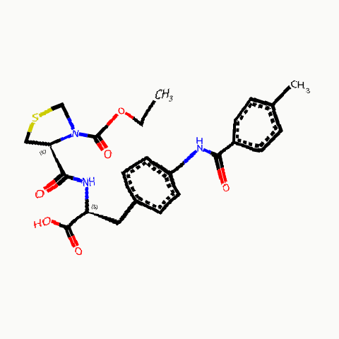 CCOC(=O)N1CSC[C@@H]1C(=O)N[C@@H](Cc1ccc(NC(=O)c2ccc(C)cc2)cc1)C(=O)O